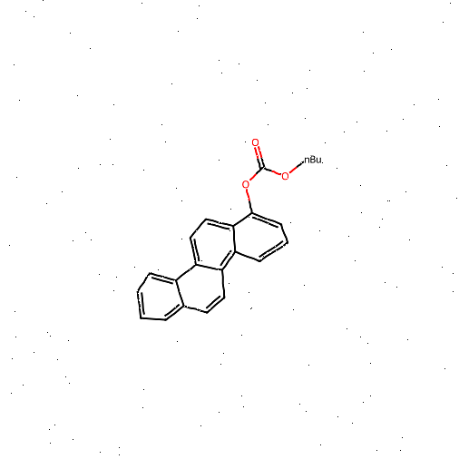 CCCCOC(=O)Oc1cccc2c1ccc1c3ccccc3ccc21